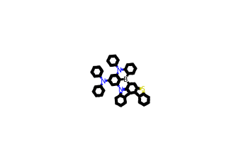 c1ccc(N(c2ccccc2)c2cc3c4c(c2)-n2c5ccccc5c5c6c(cc(c52)B4c2ccccc2N3c2ccccc2)sc2ccccc26)cc1